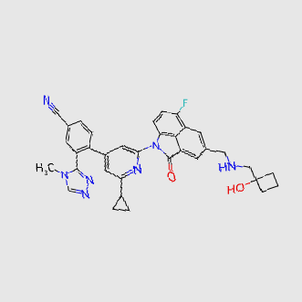 Cn1cnnc1-c1cc(C#N)ccc1-c1cc(C2CC2)nc(N2C(=O)c3cc(CNCC4(O)CCC4)cc4c(F)ccc2c34)c1